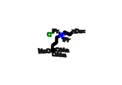 CCCCCCCCCCCC[N+](CCC[Si](OC)(OC)OC)(C(C)C)C(C)C.[Cl-]